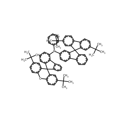 CC(C)(C)c1ccc2c(c1)C1(c3cc(C(C)(C)C)ccc3O2)c2ccccc2-c2c(N(c3ccccc3)c3ccc4c(c3)C3(c5ccccc5-4)c4cc(C(C)(C)C)ccc4-c4ccc(C(C)(C)C)cc43)cccc21